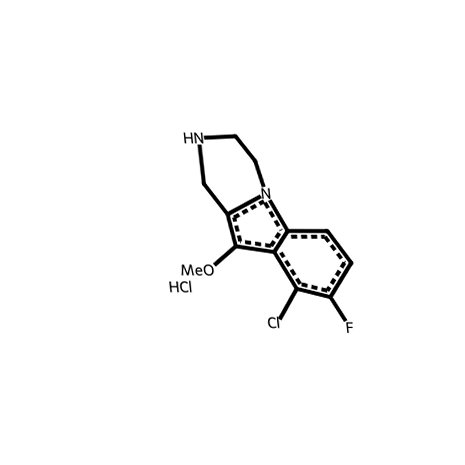 COc1c2n(c3ccc(F)c(Cl)c13)CCNC2.Cl